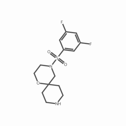 O=S(=O)(c1cc(F)cc(F)c1)N1CCOC2(CCNCC2)C1